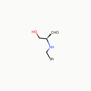 CC(C)CN[C@H](C=O)CO